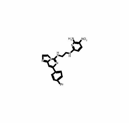 CC(C)c1ccc(-c2cc3nccn3c(NCCNc3ccc([N+](=O)[O-])c(N)n3)n2)cc1